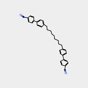 N#Cc1ccc(-c2ccc(CCCCCCCCCc3ccc(-c4ccc(C#N)cc4)cc3)cc2)cc1